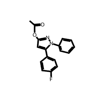 CC(=O)Oc1cc(-c2ccc(F)cc2)n(-c2ccccc2)n1